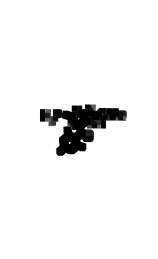 COc1nc2nc(C)nc(C(=O)c3c(C)cc(C)cc3C)c2[nH]1.P